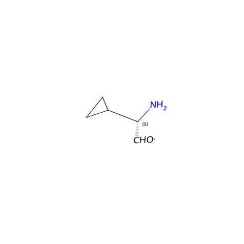 N[C@H]([C]=O)C1CC1